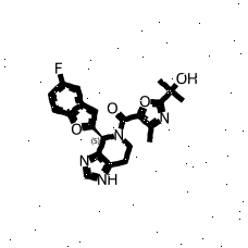 Cc1nc(C(C)(C)O)oc1C(=O)N1CCc2[nH]cnc2[C@H]1c1cc2cc(F)ccc2o1